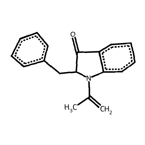 C=C(C)N1c2ccccc2C(=O)C1Cc1ccccc1